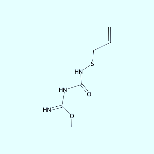 C=CCSNC(=O)NC(=N)OC